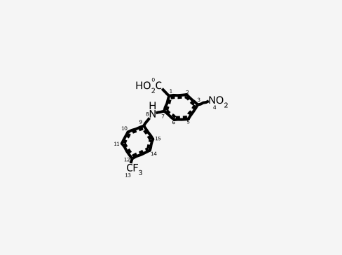 O=C(O)c1cc([N+](=O)[O-])ccc1Nc1ccc(C(F)(F)F)cc1